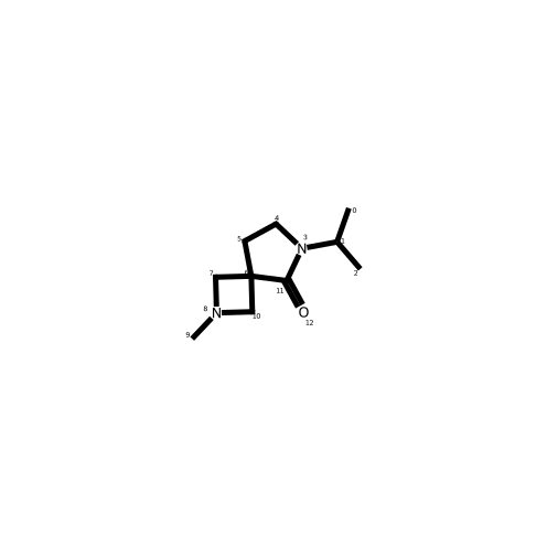 CC(C)N1CCC2(CN(C)C2)C1=O